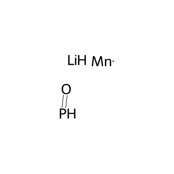 O=P.[LiH].[Mn]